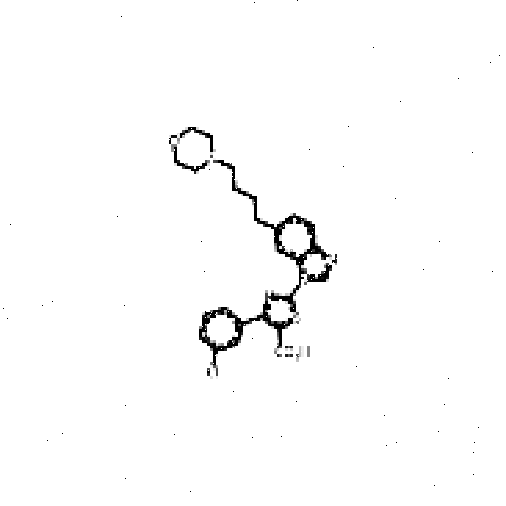 O=C(O)c1sc(-n2cnc3ccc(CCCCN4CCOCC4)cc32)nc1-c1cccc(Cl)c1